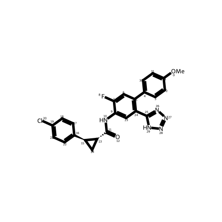 COc1ccc(-c2cc(F)c(NC(=O)[C@@H]3C[C@H]3c3ccc(Cl)cc3)cc2-c2nnn[nH]2)cc1